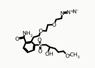 COCCCC(O)CS(=O)(=O)c1cccc(C(N)=O)c1CCOCCOCCN=[N+]=[N-]